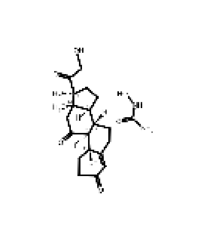 C[C@]12CCC(=O)C=C1CC[C@@H]1[C@@H]2C(=O)C[C@@]2(C)[C@H]1CC[C@]2(O)C(=O)CO.NC(=O)NO